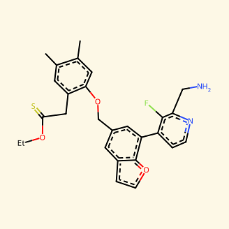 CCOC(=S)Cc1cc(C)c(C)cc1OCc1cc(-c2ccnc(CN)c2F)c2occc2c1